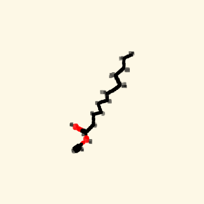 C#COC(=O)CCCCCCCCCCC